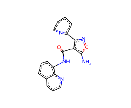 Nc1onc(-c2ccccn2)c1C(=O)Nc1cccc2cccnc12